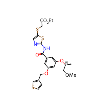 CCOC(=O)CSc1cnc(NC(=O)c2cc(OCc3ccsc3)cc(O[C@@H](C)COC)c2)s1